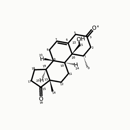 C[C@H]1CC(=O)CC2=CC[C@@H]3[C@H](CC[C@]4(C)C(=O)CC[C@@H]34)[C@]21CO